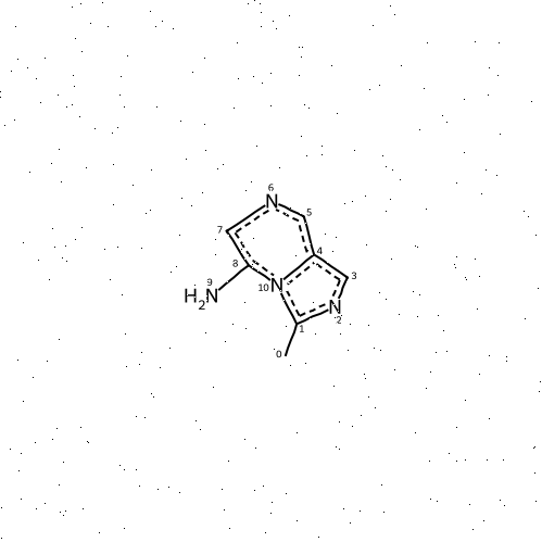 Cc1ncc2cncc(N)n12